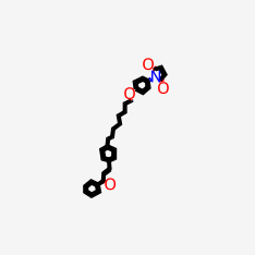 O=C(C=Cc1ccc(CCCCCCCCOc2ccc(N3C(=O)C=CC3=O)cc2)cc1)c1ccccc1